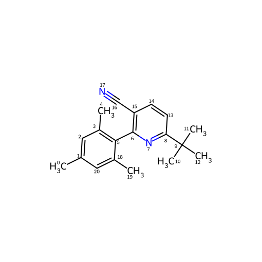 Cc1cc(C)c(-c2nc(C(C)(C)C)ccc2C#N)c(C)c1